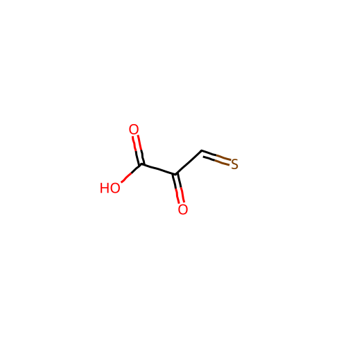 O=C(O)C(=O)C=S